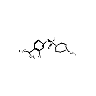 CC(C)c1ccc(N=S(=O)(F)N2CCN(C)CC2)cc1Cl